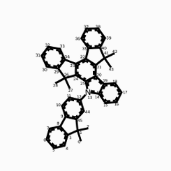 CC1(C)c2ccccc2-c2ccc(-n3c4ccccc4c4c5c(c6c(c43)C(C)(C)c3ccccc3-6)-c3ccccc3C5(C)C)cc21